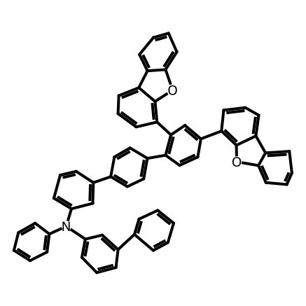 c1ccc(-c2cccc(N(c3ccccc3)c3cccc(-c4ccc(-c5ccc(-c6cccc7c6oc6ccccc67)cc5-c5cccc6c5oc5ccccc56)cc4)c3)c2)cc1